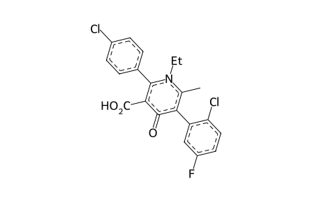 CCn1c(C)c(-c2cc(F)ccc2Cl)c(=O)c(C(=O)O)c1-c1ccc(Cl)cc1